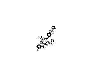 CCN(CC)c1ncc(N(CC)C(=O)c2cccc(F)c2)c(N[C@@H](Cc2ccc(OC(=O)N3CCCC3)cc2)C(=O)O)n1